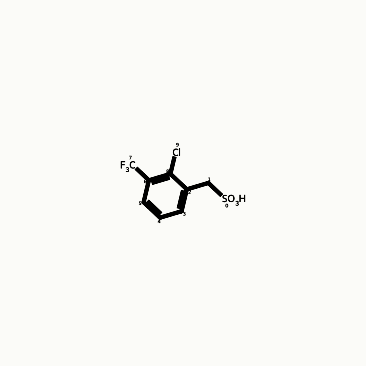 O=S(=O)(O)Cc1cccc(C(F)(F)F)c1Cl